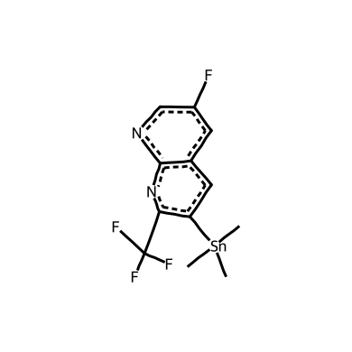 [CH3][Sn]([CH3])([CH3])[c]1cc2cc(F)cnc2nc1C(F)(F)F